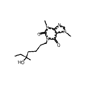 CCC(C)(O)CCCCn1c(=O)c2c(ncn2C)n(C)c1=O